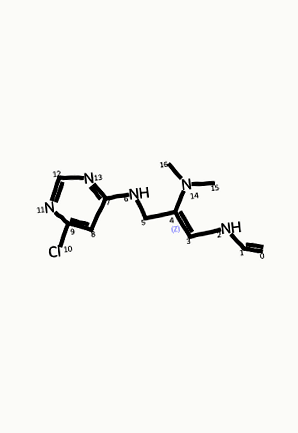 C=CN/C=C(/CNc1cc(Cl)ncn1)N(C)C